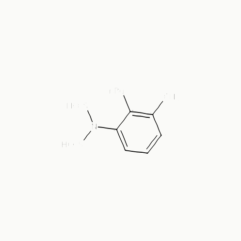 CCCCc1c(C)cccc1N(S(=O)(=O)O)S(=O)(=O)O